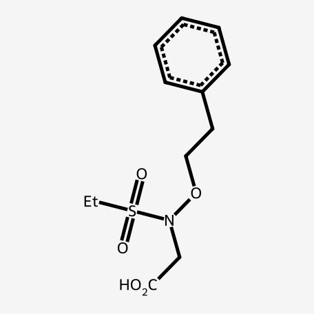 CCS(=O)(=O)N(CC(=O)O)OCCc1ccccc1